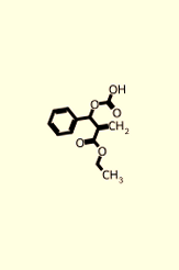 C=C(C(=O)OCC)C(OC(=O)O)c1ccccc1